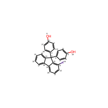 Oc1ccc(C2(c3ccc(O)cc3)c3ccccc3-c3cccc(I)c32)cc1